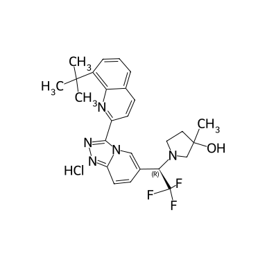 CC1(O)CCN([C@H](c2ccc3nnc(-c4ccc5cccc(C(C)(C)C)c5n4)n3c2)C(F)(F)F)C1.Cl